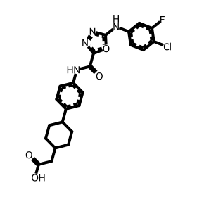 O=C(O)CC1CCC(c2ccc(NC(=O)c3nnc(Nc4ccc(Cl)c(F)c4)o3)cc2)CC1